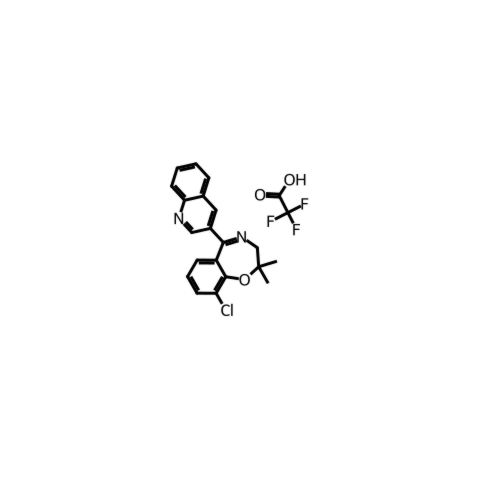 CC1(C)CN=C(c2cnc3ccccc3c2)c2cccc(Cl)c2O1.O=C(O)C(F)(F)F